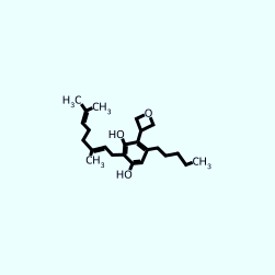 CCCCCc1cc(O)c(C/C=C(\C)CCC=C(C)C)c(O)c1C1COC1